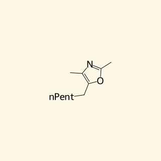 CCCCCCc1oc(C)nc1C